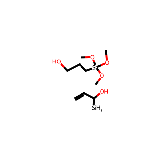 C=CC(O)[SiH3].CO[Si](CCCO)(OC)OC